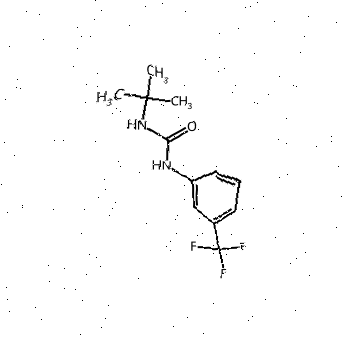 CC(C)(C)NC(=O)Nc1cccc(C(F)(F)F)c1